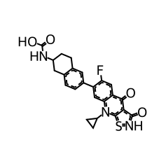 O=C(O)NC1CCc2cc(-c3cc4c(cc3F)c(=O)c3c(=O)[nH]sc3n4C3CC3)ccc2C1